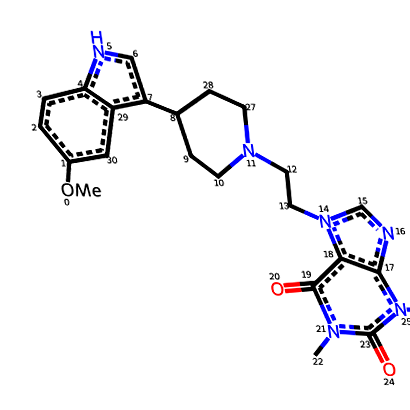 COc1ccc2[nH]cc(C3CCN(CCn4cnc5c4c(=O)n(C)c(=O)n5C)CC3)c2c1